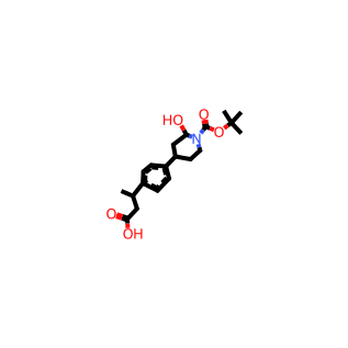 CC(CC(=O)O)c1ccc(C2CCN(C(=O)OC(C)(C)C)C(O)C2)cc1